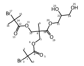 CC(C)(Br)C(=O)OCC(C)(COC(=O)C(C)(C)Br)C(=O)OCC(O)CO